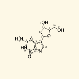 Nc1nc2c(C3CC(O)C(CO)O3)cnn2c(=O)[nH]1